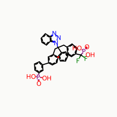 O=P(O)(O)c1cccc(-c2cccc(CC(Cc3ccc(C(F)(F)P(=O)(O)O)cc3)(c3ccccc3)n3nnc4ccccc43)c2)c1